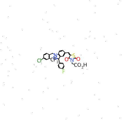 O=C(O)CN1C(=O)SC(=Cc2ccc3c(c2)c(-c2ccc(F)cc2)nn3Cc2ccc(Cl)cc2C(F)(F)F)C1=O